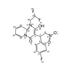 O=c1c(C(C[N+](=O)[O-])c2ccc(F)cc2)c(O)[n+](CC(F)F)c2ccccn12